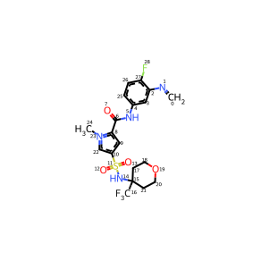 C=Nc1cc(NC(=O)c2cc(S(=O)(=O)NC3(C(F)(F)F)CCOCC3)cn2C)ccc1F